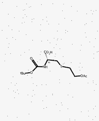 CC(=O)OCCSC[C@H](NC(=O)OC(C)(C)C)C(=O)O